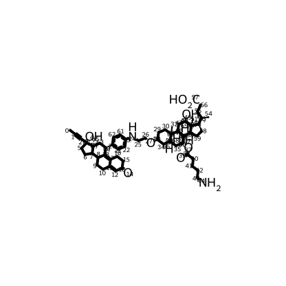 CC#C[C@@]1(O)CCC2C3CCC4=CC(=O)CCC4=C3[C@H](c3ccc(NCCO[C@H]4CC[C@@]5(C)[C@@H](C4)C[C@@H](OC(=O)CCCCN)[C@@H]4[C@@H]5C[C@H](O)[C@]5(C)[C@@H]([C@H](C)CCC(=O)O)CC[C@@H]45)cc3)C[C@@]21C